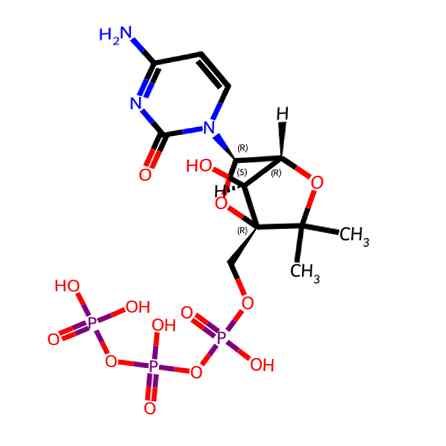 CC1(C)O[C@H]2[C@H](n3ccc(N)nc3=O)O[C@]1(COP(=O)(O)OP(=O)(O)OP(=O)(O)O)[C@H]2O